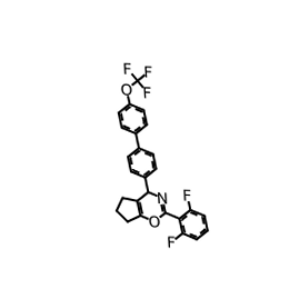 Fc1cccc(F)c1C1=NC(c2ccc(-c3ccc(OC(F)(F)F)cc3)cc2)C2=C(CCC2)O1